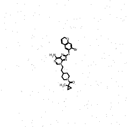 CC1(C(=O)N2CCC(CCn3cnc(N)c4nc(Sc5cc6c(cc5Br)OCC=C6)nc3-4)CC2)CC1